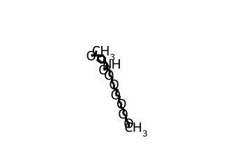 COCCOCCOCCOCCOCCOCC(=O)Nc1ccc(C(C)=O)cc1